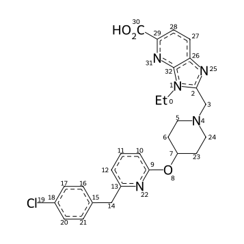 CCn1c(CN2CCC(Oc3cccc(Cc4ccc(Cl)cc4)n3)CC2)nc2ccc(C(=O)O)nc21